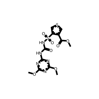 COC(=O)c1cscc1S(=O)(=O)NC(=O)Nc1nc(OC)nc(OC)n1